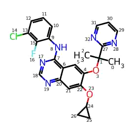 CC(C)(Oc1cc2c(Nc3cccc(Cl)c3F)ncnc2cc1OC1CC1)c1ncccn1